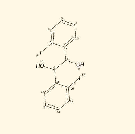 OC(c1ccccc1I)C(O)c1ccccc1I